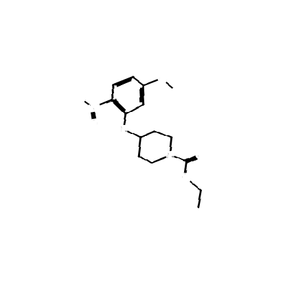 CCOC(=O)N1CCC(Nc2cc(OC)ccc2[N+](=O)[O-])CC1